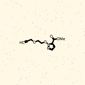 C#CCOCCOn1nccc1C(=O)OC